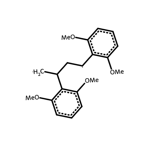 [CH2]C(C[CH]c1c(OC)cccc1OC)c1c(OC)cccc1OC